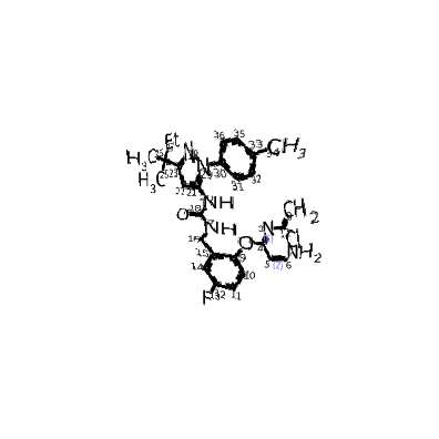 C=C(Cl)/N=C(\C=C/N)Oc1ccc(F)cc1CNC(=O)Nc1cc(C(C)(C)CC)nn1-c1ccc(C)cc1